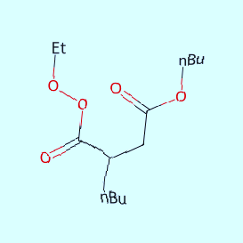 CCCCOC(=O)CC(CCCC)C(=O)OOCC